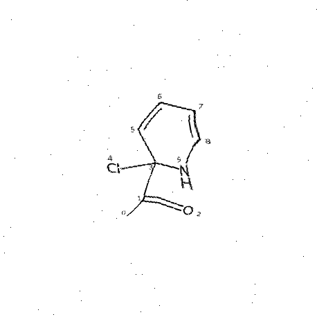 CC(=O)C1(Cl)C=CC=CN1